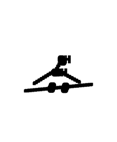 CCCCCCCCCCCCCCCCCCCCC(CCCCCCCCCCCCCCCCCCCC)(CCCCCCCC(=O)O)C(=O)O.CCCCCCCCCCCCCCCCCCCCOC(=O)CCCCCCCCC(=O)OCCCCCCCCCCCCCCCCCCCC